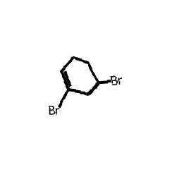 BrC1=CCCC(Br)C1